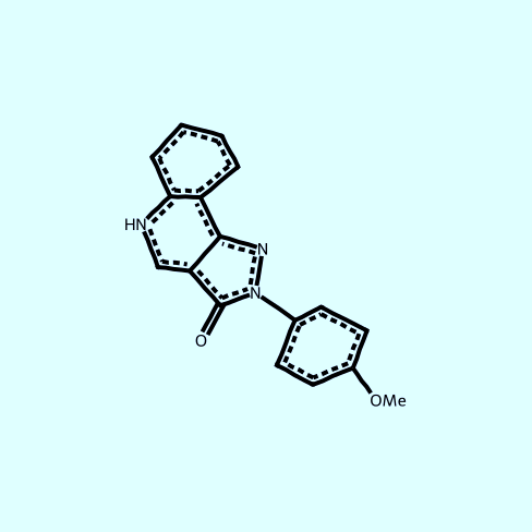 COc1ccc(-n2nc3c4ccccc4[nH]cc-3c2=O)cc1